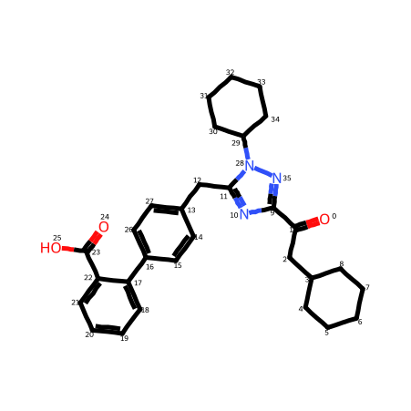 O=C(CC1CCCCC1)c1nc(Cc2ccc(-c3ccccc3C(=O)O)cc2)n(C2CCCCC2)n1